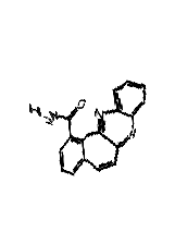 NC(=O)c1cccc2ccc3nc4ccccc4nc3c12